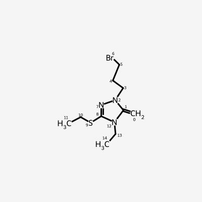 C=C1N(CCCBr)N=C(SCC)N1CC